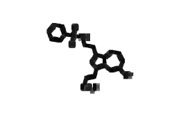 CC(C)c1cccc2c(CCNS(=O)(=O)c3ccccc3)cc(/C=C/C(=O)O)c-2c1